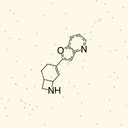 C1=C(c2cc3ncccc3o2)CCC2CNC12